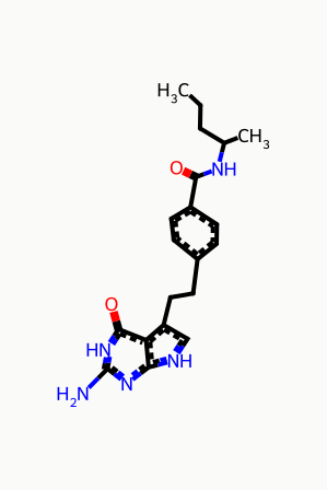 CCCC(C)NC(=O)c1ccc(CCc2c[nH]c3nc(N)[nH]c(=O)c23)cc1